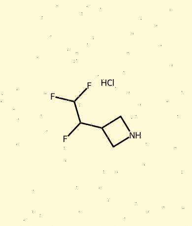 Cl.FC(F)C(F)C1CNC1